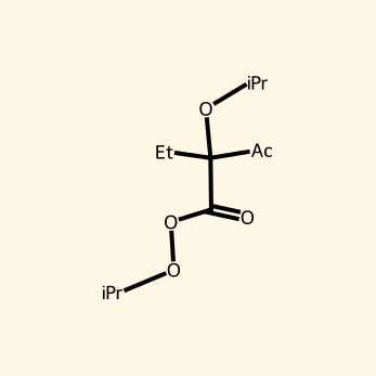 CCC(OC(C)C)(C(C)=O)C(=O)OOC(C)C